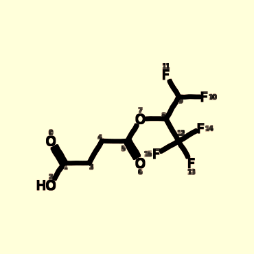 O=C(O)CCC(=O)OC(C(F)F)C(F)(F)F